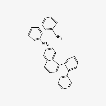 Nc1ccccc1.Nc1ccccc1.c1ccc(-c2ccccc2-c2cccc3ccccc23)cc1